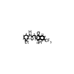 CCN1CCC[C@@H](NC(=O)Cn2nc(C(C)C)c3cc(C(F)(F)F)ccc3c2=O)C1